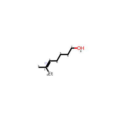 CC/C(C)=C\CCCCO